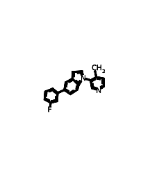 Cc1ccncc1-n1ccc2cc(-c3cccc(F)c3)ccc21